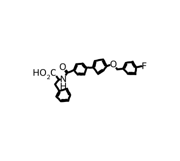 O=C(NC(Cc1ccccc1)C(=O)O)c1ccc(-c2ccc(OCc3ccc(F)cc3)cc2)cc1